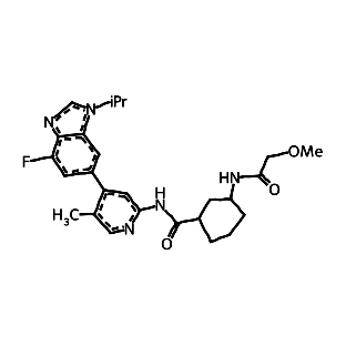 COCC(=O)NC1CCCC(C(=O)Nc2cc(-c3cc(F)c4ncn(C(C)C)c4c3)c(C)cn2)C1